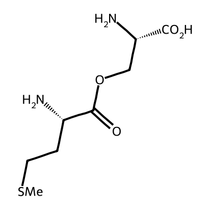 CSCC[C@H](N)C(=O)OC[C@H](N)C(=O)O